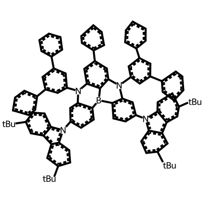 CC(C)(C)c1ccc2c(c1)c1cc(C(C)(C)C)ccc1n2-c1ccc2c(c1)N(c1cc(-c3ccccc3)cc(-c3ccccc3)c1)c1cc(-c3ccccc3)cc3c1B2c1ccc(-n2c4ccc(C(C)(C)C)cc4c4cc(C(C)(C)C)ccc42)cc1N3c1cc(-c2ccccc2)cc(-c2ccccc2)c1